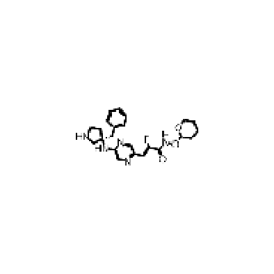 O=C(NOC1CCCCO1)/C(F)=C/c1cnc(N[C@]2(Cc3ccccc3)CCNC2)cn1